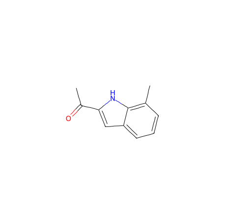 CC(=O)c1cc2cccc(C)c2[nH]1